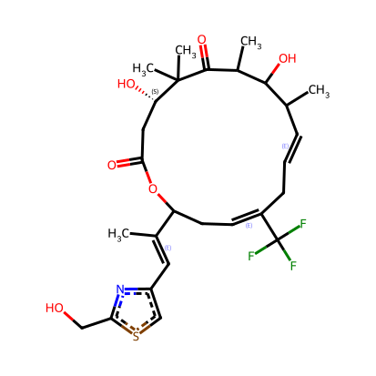 C/C(=C\c1csc(CO)n1)C1C/C=C(/C(F)(F)F)C/C=C/C(C)C(O)C(C)C(=O)C(C)(C)[C@@H](O)CC(=O)O1